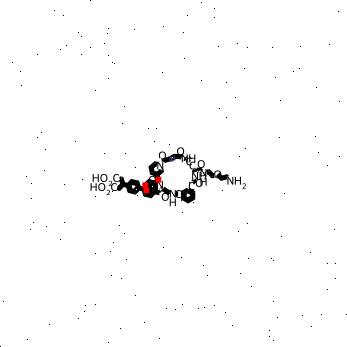 NCCOCCNC(=O)[C@@H]1CCNC(=O)/C=C/C(=O)N2CCC[C@](Cc3ccccc3)(C2)C(=O)N[C@@H](Cc2ccc(-c3ccc(C(CC(=O)O)CC(=O)O)cc3)cc2)C(=O)NCc2ccccc2CC(=O)N1